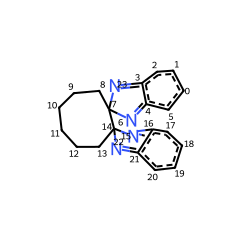 c1ccc2c(c1)=NC1(CCCCCCC13N=c1ccccc1=N3)N=2